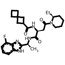 CC[C@H]1CCCCN1C(=O)C[C@H](NC(=O)C1CC2(CCC2)C1)C(=O)N[C@@H](C)c1nc2c(F)cccc2[nH]1